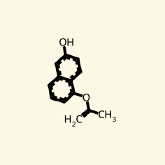 C=C(C)Oc1cccc2cc(O)ccc12